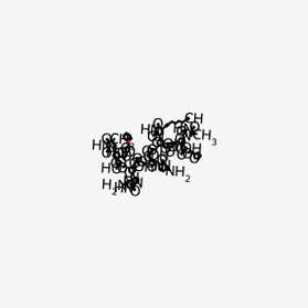 C#CCCCCC#Cc1cn([C@H]2CC(OP(=O)(O)OC[C@H]3O[C@@H](n4cc(C)c(=O)[nH]c4=O)CC3OP(=O)(O)OCc3ccco3)[C@@H](COP(=O)(O)OC3C[C@H](n4ccc(N)nc4=O)O[C@@H]3COP(=O)(O)OC3C[C@H](n4cnc5c(=O)[nH]c(N)nc54)O[C@@H]3COP(=O)(O)OC3C[C@H](n4cc(C)c(=O)[nH]c4=O)O[C@@H]3COP(=O)(O)OCC3CC4C=CC3C4)O2)c(=O)[nH]c1=O